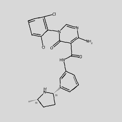 C[C@H]1CC[C@@H](c2cccc(NC(=O)c3c(N)ncn(-c4c(Cl)cccc4Cl)c3=O)c2)N1